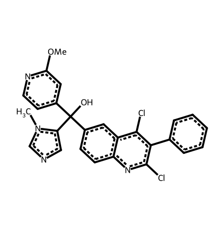 COc1cc(C(O)(c2ccc3nc(Cl)c(-c4ccccc4)c(Cl)c3c2)c2cncn2C)ccn1